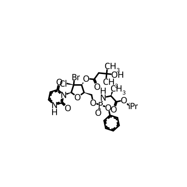 CC(C)OC(=O)[C@H](C)NP(=O)(OC[C@H]1O[C@@H](n2c(=O)cc[nH]c2=O)[C@](Cl)(Br)[C@@H]1OC(=O)CC(C)(C)O)Oc1ccccc1